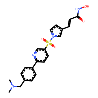 CN(C)Cc1ccc(-c2ccc(S(=O)(=O)n3ccc(/C=C/C(=O)NO)c3)cn2)cc1